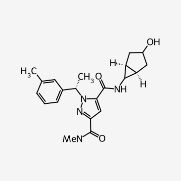 CNC(=O)c1cc(C(=O)NC2[C@H]3CC(O)C[C@@H]23)n([C@@H](C)c2cccc(C)c2)n1